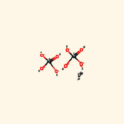 O=[As]([O-])([O-])[O-].O=[As]([O-])([O-])[O-].[U+6]